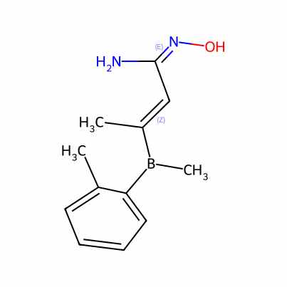 CB(/C(C)=C/C(N)=N\O)c1ccccc1C